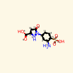 Nc1cc(-n2[nH]c(C(=O)O)cc2=O)ccc1S(=O)(=O)O